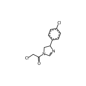 O=C(CCl)N1C=NC(c2ccc(Cl)cc2)C1